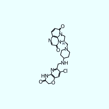 O=C1COc2cc(Cl)c(CNC3CCN(C[C@@H]4Cn5c(=O)ccc6ncc(=O)n4c65)CC3)nc2N1